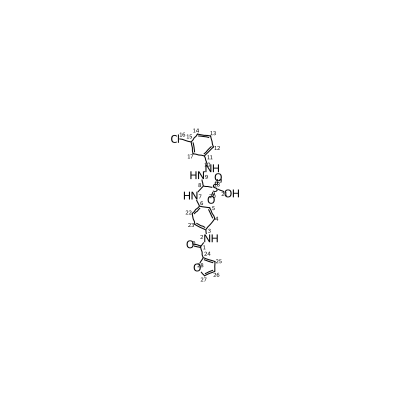 O=C(Nc1ccc(NC(NNc2cccc(Cl)c2)S(=O)(=O)O)cc1)c1ccco1